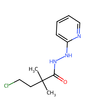 CC(C)(CCCl)C(=O)NNc1ccccn1